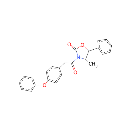 CC1C(c2ccccc2)OC(=O)N1C(=O)Cc1ccc(Oc2ccccc2)cc1